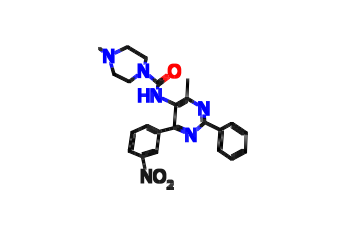 Cc1nc(-c2ccccc2)nc(-c2cccc([N+](=O)[O-])c2)c1NC(=O)N1CCN(C)CC1